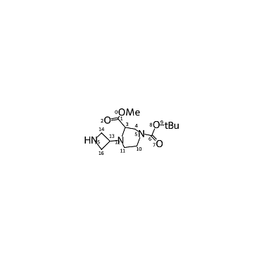 COC(=O)C1CN(C(=O)OC(C)(C)C)CCN1C1CNC1